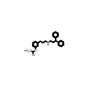 CCC(Oc1cccc(CCCNCCC(c2ccccc2)c2ccccc2)c1)C(=O)O